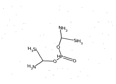 NC([SiH3])O[PH](=O)OC(N)[SiH3]